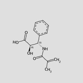 C=C(C)C(=O)N[C@@H](c1ccccc1)[C@@H](O)C(=O)O